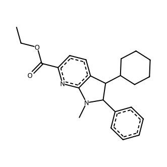 CCOC(=O)c1ccc2c(n1)N(C)C(c1ccccc1)C2C1CCCCC1